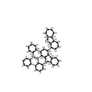 c1ccc(N2B3c4ccccc4-n4c5ccccc5c5c(-c6cccc7c6oc6ccccc67)cc(c3c54)-c3ccccc32)cc1